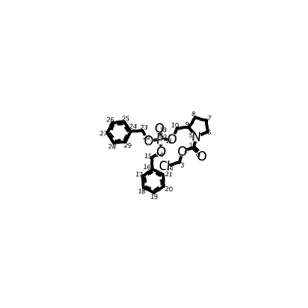 O=C(OCCl)N1CCCC1COP(=O)(OCc1ccccc1)OCc1ccccc1